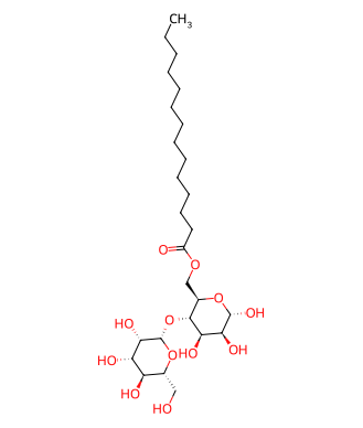 CCCCCCCCCCCCCC(=O)OC[C@H]1O[C@H](O)[C@@H](O)[C@@H](O)[C@@H]1O[C@@H]1O[C@H](CO)[C@@H](O)[C@H](O)[C@@H]1O